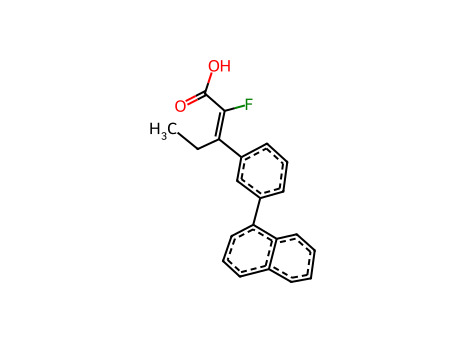 CC/C(=C(/F)C(=O)O)c1cccc(-c2cccc3ccccc23)c1